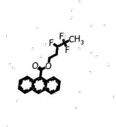 CC(F)(F)C(F)CCOC(=O)c1c2ccccc2cc2ccccc12